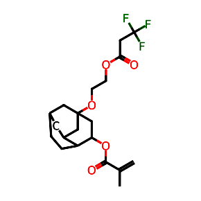 C=C(C)C(=O)OC1CC2(OCCOC(=O)CC(F)(F)F)CC3CCC1C(C3)C2